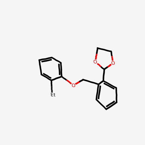 CCc1ccccc1OCc1ccccc1C1OCCO1